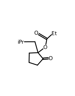 CCC(=O)OC1(CC(C)C)CCCC1=O